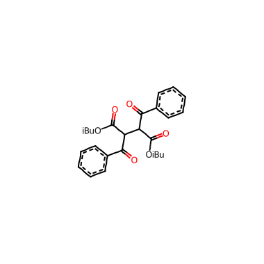 CC(C)COC(=O)C(C(=O)c1ccccc1)C(C(=O)OCC(C)C)C(=O)c1ccccc1